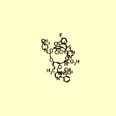 C=C/C=C1\C=C(/OCc2ccnc(-c3ccccc3S(C)(=N)=O)n2)C[C@H](C(=O)O)Oc2ncnc3sc(-c4ccc(F)cc4)c(c23)-c2c(C)c(Cl)c(c(Cl)c2C)OC(CN2CCN(C)CC2)CO1